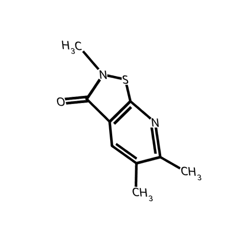 Cc1cc2c(=O)n(C)sc2nc1C